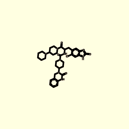 O=C(NC(Cc1cc2oc(=O)[nH]c2cc1Cl)C(=O)N1CCC(N2CCCCC2)CC1)N1CCC(N2Cc3ccccc3NC2=O)CC1